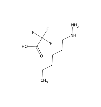 CCCCCCNN.O=C(O)C(F)(F)F